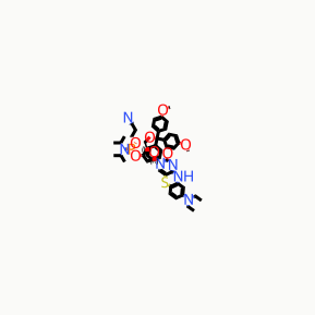 CCN(CC)c1ccc2c(c1)Nc1nc(=O)n([C@H]3CC(OP(OCCC#N)N(C(C)C)C(C)C)[C@@H](COC(c4ccccc4)(c4ccc(OC)cc4)c4ccc(OC)cc4)O3)cc1S2